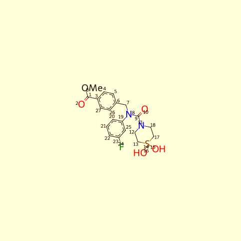 COC(=O)c1ccc(CN(C(=O)N2CCS(O)(O)CC2)c2cccc(F)c2)cc1